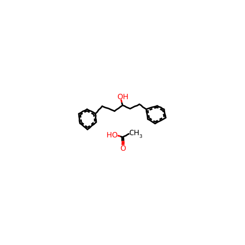 CC(=O)O.OC(CCc1ccccc1)CCc1ccccc1